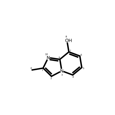 Cc1cn2cccc(O)c2n1